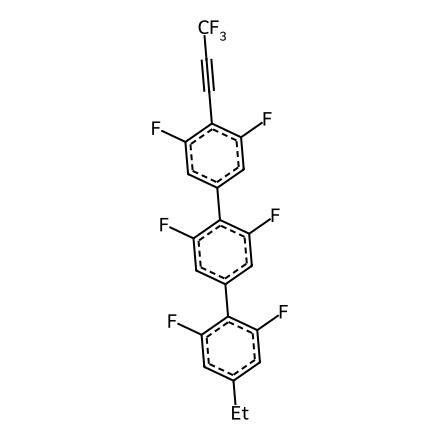 CCc1cc(F)c(-c2cc(F)c(-c3cc(F)c(C#CC(F)(F)F)c(F)c3)c(F)c2)c(F)c1